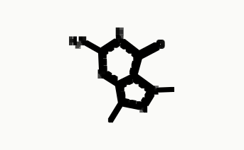 Cc1nn(C)c2c(=O)[nH]c(N)nc12